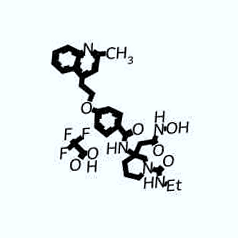 CCNC(=O)N1CCCC(CC(=O)NO)(NC(=O)c2ccc(OCCc3cc(C)nc4ccccc34)cc2)C1.O=C(O)C(F)(F)F